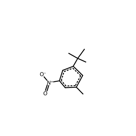 Cc1cc([N+](=O)[O-])cc(C(C)(C)C)c1